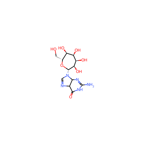 NC1=NC2C(N=CN2[C@@H]2O[C@H](CO)[C@@H](O)[C@@H](O)[C@@H](O)[C@H]2O)C(=O)N1